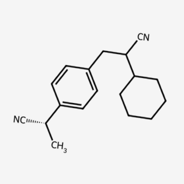 C[C@H](C#N)c1ccc(CC(C#N)C2CCCCC2)cc1